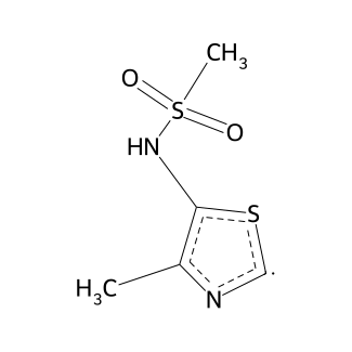 Cc1n[c]sc1NS(C)(=O)=O